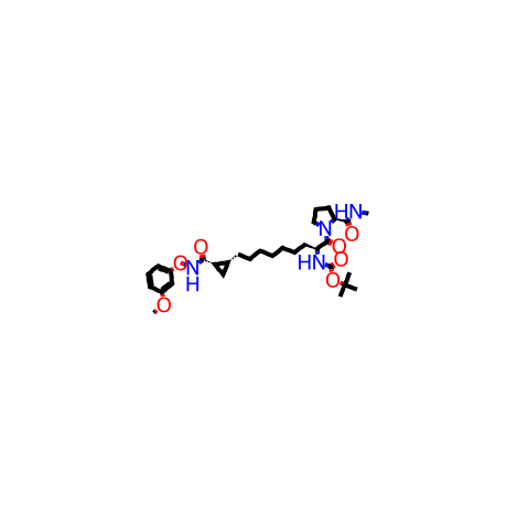 CNC(=O)[C@@H]1CCCN1C(=O)[C@H](CCCCCCC[C@@H]1C[C@@H]1C(=O)NOc1cccc(OC)c1)NC(=O)OC(C)(C)C